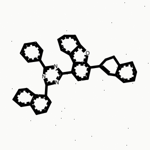 C1=C(c2ccc(-c3nc(-c4ccccc4)nc(-c4cccc5ccccc45)n3)c3c2oc2ccccc23)CCc2ccccc21